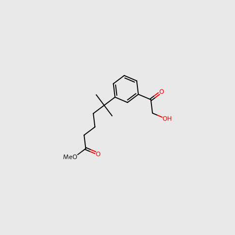 COC(=O)CCCC(C)(C)c1cccc(C(=O)CO)c1